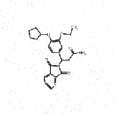 CCOc1cc(C(CC(N)=O)N2C(=O)c3cccnc3C2=O)ccc1OC1CCCC1